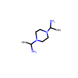 CCCCC(N)N1CCN(C(N)CCCC)CC1